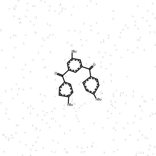 CCCCc1ccc(C(=O)c2cc(C(=O)c3ccc(CCCC)cc3)cc(C(C)(C)C)c2)cc1